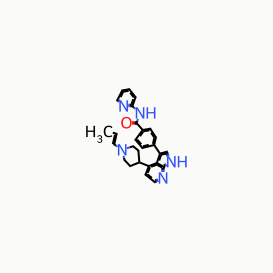 CC=CN1CCC(c2ccnc3[nH]cc(-c4ccc(C(=O)Nc5ccccn5)cc4)c23)CC1